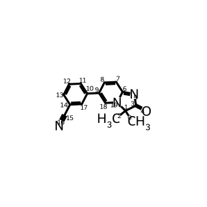 CC1(C)C(=O)N=C2C=CC(c3cccc(C#N)c3)=CN21